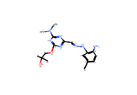 CCCN(CCC)c1nc(/C=N/Nc2cc(C)ccc2N)nc(OCC(C)(C)O)n1